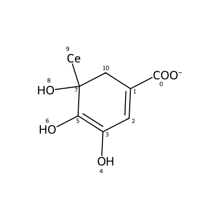 O=C([O-])C1=CC(O)=C(O)[C](O)([Ce])C1